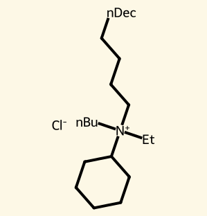 CCCCCCCCCCCCCC[N+](CC)(CCCC)C1CCCCC1.[Cl-]